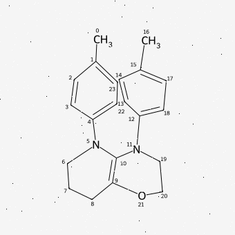 Cc1ccc(N2CCCC3=C2N(c2ccc(C)cc2)CCO3)cc1